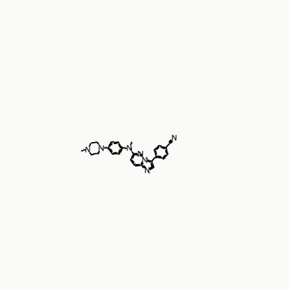 CN1CCN(c2ccc(N(C)c3ccc4ncc(-c5ccc(C#N)cc5)n4n3)cc2)CC1